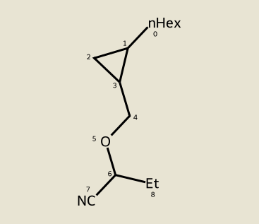 CCCCCCC1CC1COC(C#N)CC